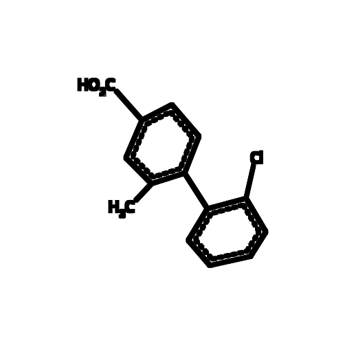 Cc1cc(C(=O)O)ccc1-c1ccccc1Cl